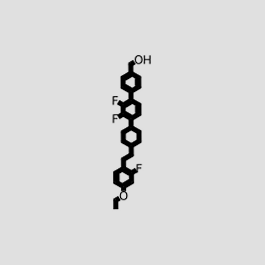 CCOc1ccc(CCC2CCC(c3ccc(-c4ccc(CO)cc4)c(F)c3F)CC2)c(F)c1